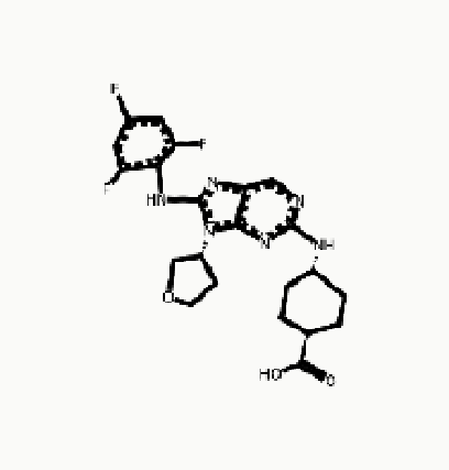 O=C(O)[C@H]1CC[C@H](Nc2ncc3nc(Nc4c(F)cc(F)cc4F)n([C@@H]4CCOC4)c3n2)CC1